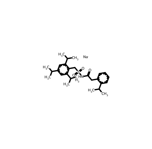 CC(C)c1cc(C(C)C)c(CS(=O)(=O)NC(=O)Cc2ccccc2C(C)C)c(C(C)C)c1.[Na]